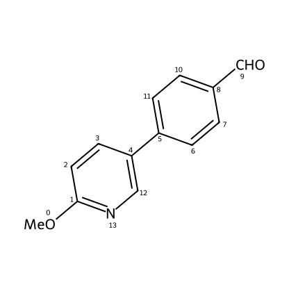 COc1ccc(-c2ccc(C=O)cc2)cn1